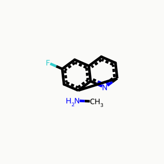 CN.Fc1cc2c3nc-2ccc3c1